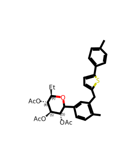 CC[C@H]1OC(c2ccc(C)c(Cc3ccc(-c4ccc(C)cc4)s3)c2)[C@H](OC(C)=O)[C@@H](OC(C)=O)[C@@H]1OC(C)=O